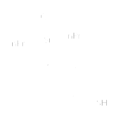 CCC[Si](Cl)(CCC)CCCS